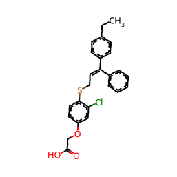 CCc1ccc(C(=CCSc2ccc(OCC(=O)O)cc2Cl)c2ccccc2)cc1